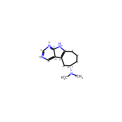 CN(C)[C@H]1CCCc2[nH]c3ncncc3c2C1